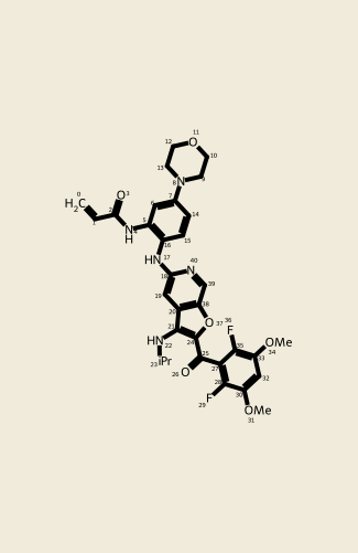 C=CC(=O)Nc1cc(N2CCOCC2)ccc1Nc1cc2c(NC(C)C)c(C(=O)c3c(F)c(OC)cc(OC)c3F)oc2cn1